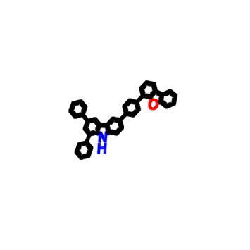 c1ccc(-c2cc(-c3ccccc3)c3[nH]c4ccc(-c5ccc(-c6cccc7c6oc6ccccc67)cc5)cc4c3c2)cc1